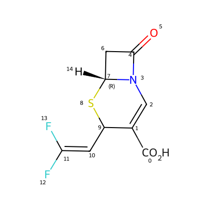 O=C(O)C1=CN2C(=O)C[C@H]2SC1C=C(F)F